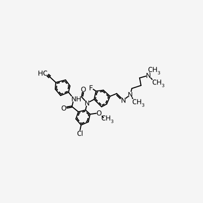 C#Cc1ccc(NC(=O)c2cc(Cl)cc(OC)c2N(C=O)c2ccc(C=NN(C)CCCN(C)C)cc2F)cc1